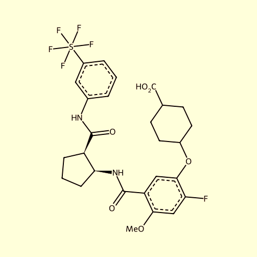 COc1cc(F)c(OC2CCC(C(=O)O)CC2)cc1C(=O)N[C@H]1CCC[C@H]1C(=O)Nc1cccc(S(F)(F)(F)(F)F)c1